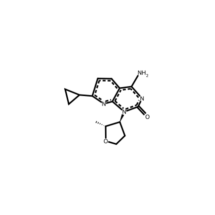 C[C@H]1OCC[C@@H]1n1c(=O)nc(N)c2ccc(C3CC3)nc21